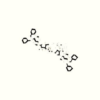 CO[C@@H]1[C@H](O[Si](C)(C)C(C)(C)C)[C@@H](CO[P@]2(=S)OC[C@H]3O[C@@H](n4cnc5c(N(Cc6ccccc6)Cc6ccccc6)ncnc54)[C@H](OC)[C@@H]3O2)O[C@H]1n1cnc2c(N(Cc3ccccc3)Cc3ccccc3)ncnc21